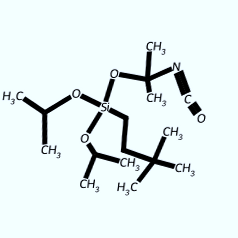 CC(C)O[Si](CCC(C)(C)C)(OC(C)C)OC(C)(C)N=C=O